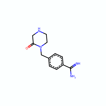 N=C(N)c1ccc(CN2CCNCC2=O)cc1